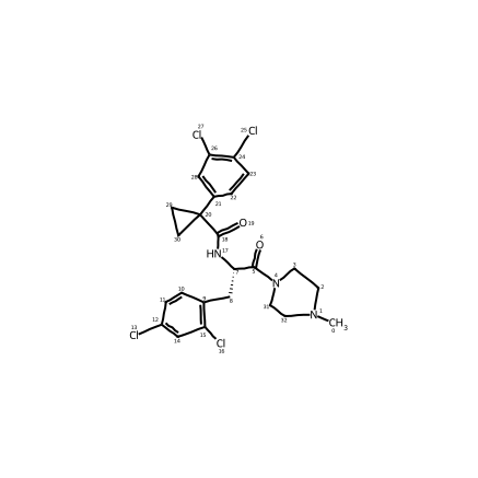 CN1CCN(C(=O)[C@H](Cc2ccc(Cl)cc2Cl)NC(=O)C2(c3ccc(Cl)c(Cl)c3)CC2)CC1